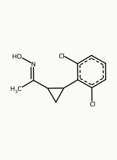 CC(=NO)C1CC1c1c(Cl)cccc1Cl